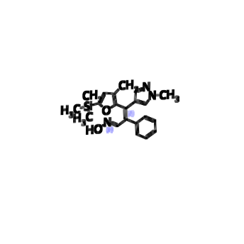 Cc1cc([Si](C)(C)C)oc1/C(=C(\C=N\O)c1ccccc1)c1cnn(C)c1